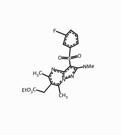 CCOC(=O)Cc1c(C)nc2c(S(=O)(=O)c3cccc(F)c3)c(NC)nn2c1C